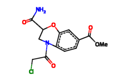 COC(=O)c1ccc2c(c1)OC(C(N)=O)CN2C(=O)CCl